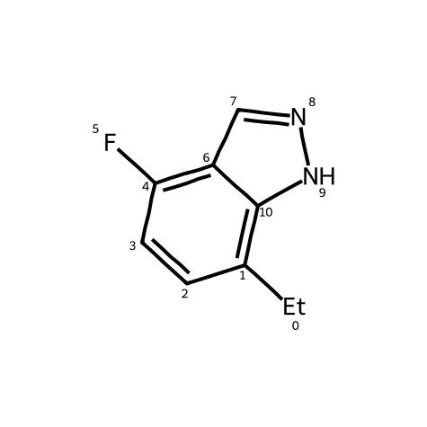 CCc1ccc(F)c2cn[nH]c12